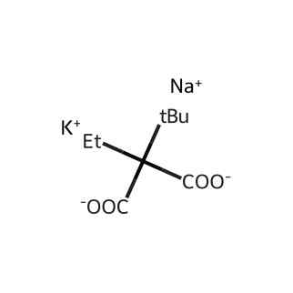 CCC(C(=O)[O-])(C(=O)[O-])C(C)(C)C.[K+].[Na+]